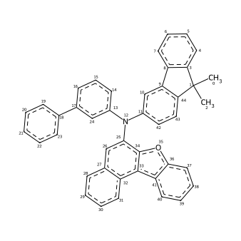 CC1(C)c2ccccc2-c2cc(N(c3cccc(-c4ccccc4)c3)c3cc4ccccc4c4c3oc3ccccc34)ccc21